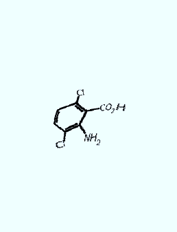 Nc1c(Cl)ccc(Cl)c1C(=O)O